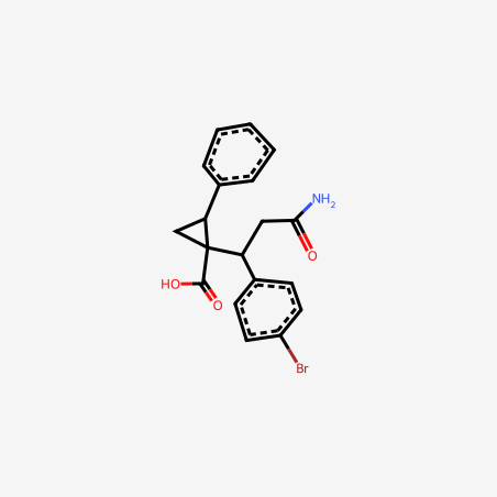 NC(=O)CC(c1ccc(Br)cc1)C1(C(=O)O)CC1c1ccccc1